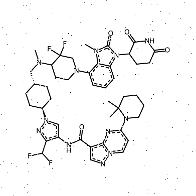 CN(C[C@H]1CC[C@H](n2cc(NC(=O)c3cnn4ccc(N5CCCCC5(C)C)nc34)c(C(F)F)n2)CC1)C1CCN(c2cccc3c2n(C)c(=O)n3C2CCC(=O)NC2=O)CC1(F)F